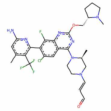 Cc1cc(N)nc(-c2c(Cl)cc3c(N4CCN(C=CC=O)C[C@@H]4C)nc(OC[C@@H]4CCCN4C)nc3c2F)c1C(F)(F)F